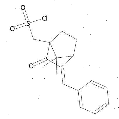 CC1(C)C2CCC1(CS(=O)(=O)Cl)C(=O)C2=Cc1ccccc1